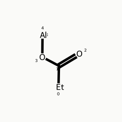 CCC(=O)[O][Al]